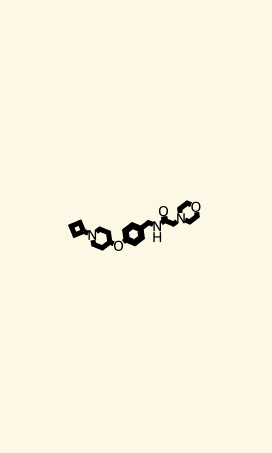 O=C(CN1CCOCC1)NCc1ccc(OC2CCN(C3CCC3)CC2)cc1